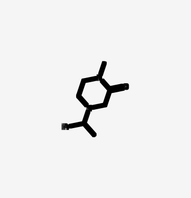 CC(C)C(C)N1CCN(C)C(=O)C1